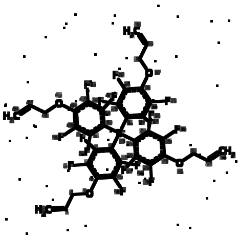 C=CCOc1c(F)c(F)c([B-](c2c(F)c(F)c(OCC=C)c(F)c2F)(c2c(F)c(F)c(OCC=C)c(F)c2F)c2c(F)c(F)c(OCC=C)c(F)c2F)c(F)c1F